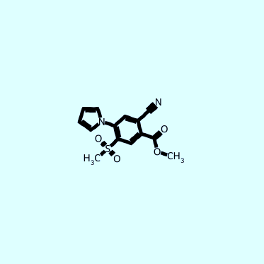 COC(=O)c1cc(S(C)(=O)=O)c(-n2cccc2)cc1C#N